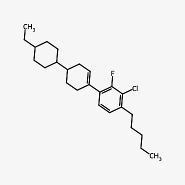 CCCCCc1ccc(C2=CCC(C3CCC(CC)CC3)CC2)c(F)c1Cl